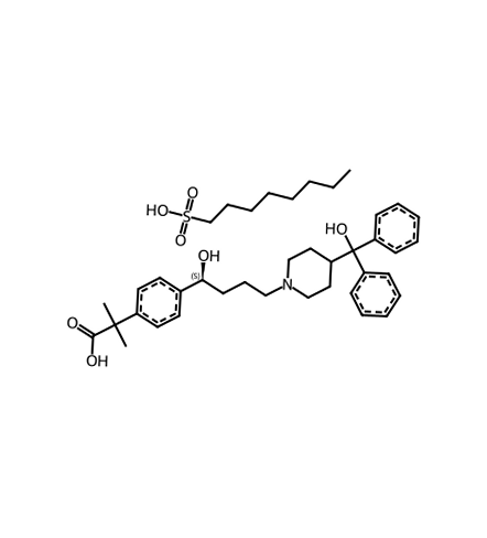 CC(C)(C(=O)O)c1ccc([C@@H](O)CCCN2CCC(C(O)(c3ccccc3)c3ccccc3)CC2)cc1.CCCCCCCCS(=O)(=O)O